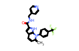 C=C1C=Cc2cc(C(=O)NCc3ccncc3)[nH]c2N1c1ccc(C(F)(F)F)cc1